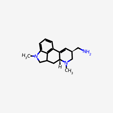 CN1CC2C[C@@H]3C(=C[C@@H](CN)CN3C)c3cccc1c32